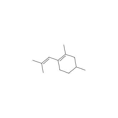 CC(C)=CC1=C(C)CC(C)CC1